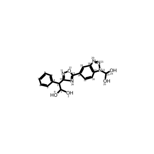 OC(O)C(c1ccccc1)c1noc(-c2ccc3c(c2)nnn3C(O)O)n1